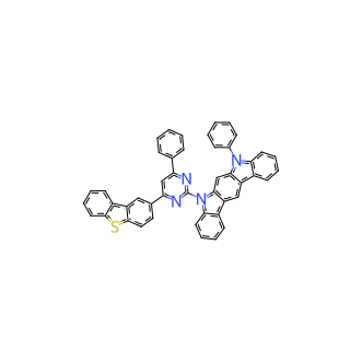 c1ccc(-c2cc(-c3ccc4sc5ccccc5c4c3)nc(-n3c4ccccc4c4cc5c6ccccc6n(-c6ccccc6)c5cc43)n2)cc1